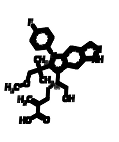 C=C(CC[C@@H](CO)c1c(C(C)(C)COC)n(-c2ccc(F)cc2)c2cc3cn[nH]c3cc12)C(=O)O